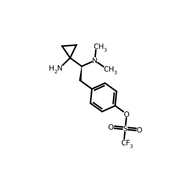 CN(C)[C@@H](Cc1ccc(OS(=O)(=O)C(F)(F)F)cc1)C1(N)CC1